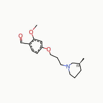 COc1cc(OCCCN2CCC[C@H](C)C2)ccc1C=O